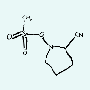 CS(=O)(=O)ON1CCCC1C#N